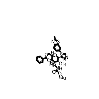 Cc1nc2ccc(-n3cnnc3[C@@H]3O[C@@H]4COC(c5ccccc5)O[C@@H]4[C@H](NNC(=O)OC(C)(C)C)[C@H]3O)cc2s1